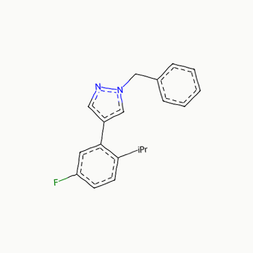 CC(C)c1ccc(F)cc1-c1cnn(Cc2ccccc2)c1